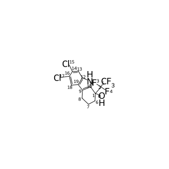 OC1(C(F)(F)C(F)(F)F)CCCc2c1[nH]c1cc(Cl)c(Cl)cc21